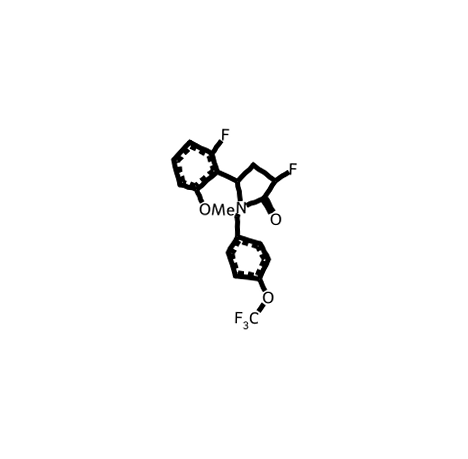 COc1cccc(F)c1C1CC(F)C(=O)N1Cc1ccc(OC(F)(F)F)cc1